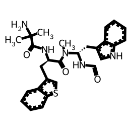 CN(C(=O)[C@@H](Cc1csc2ccccc12)NC(=O)C(C)(C)N)[C@H](Cc1c[nH]c2ccccc12)NC=O